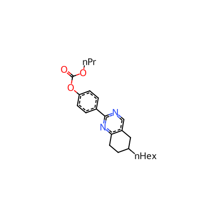 CCCCCCC1CCc2nc(-c3ccc(OC(=O)OCCC)cc3)ncc2C1